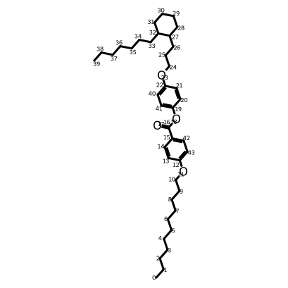 CCCCCCCCCCCOc1ccc(C(=O)Oc2ccc(OCCCC3CCCCC3CCCCCCC)cc2)cc1